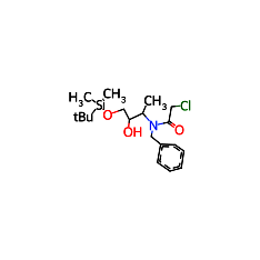 CC(C(O)CO[Si](C)(C)C(C)(C)C)N(Cc1ccccc1)C(=O)CCl